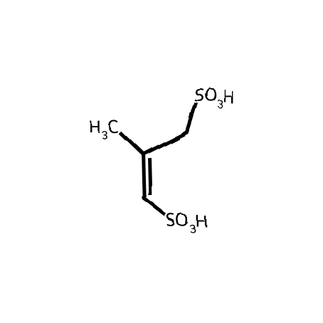 CC(=CS(=O)(=O)O)CS(=O)(=O)O